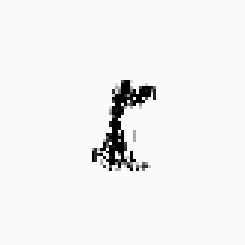 COC(=O)N[C@H](C(=O)N1CCC[C@H]1c1ncc(-c2ccc(-c3ccc(-c4cnc([C@H]5[C@H](C(=O)NC6(c7ccccc7)CC6)C6CC[C@@H]65)[nH]4)cc3)cc2)[nH]1)C(C)C